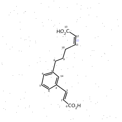 O=C(O)C=Cc1cccc(CCC/C=C\C(=O)O)c1